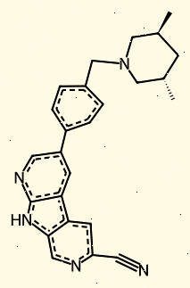 C[C@H]1C[C@H](C)CN(Cc2ccc(-c3cnc4[nH]c5cnc(C#N)cc5c4c3)cc2)C1